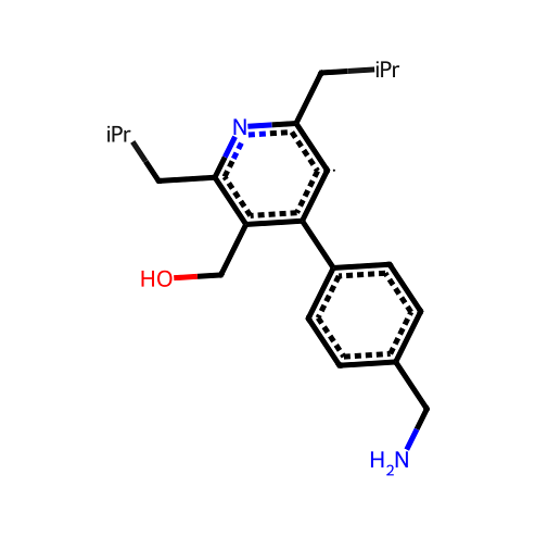 CC(C)Cc1[c]c(-c2ccc(CN)cc2)c(CO)c(CC(C)C)n1